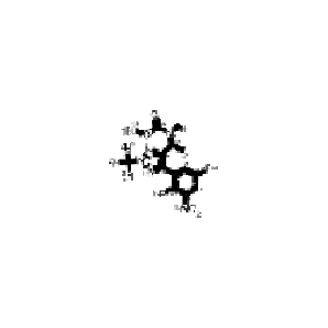 [2H]C([2H])([2H])n1nc(-c2cc(F)cc([N+](=O)[O-])c2F)c(C(C)N(C)C(=O)OC(C)(C)C)n1